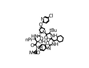 CCC[C@H](NC(=O)[C@@H]1C[C@@H](Oc2ccc(Cl)cn2)CN1C(=O)C(NC(=O)[C@@H](Nc1nc2cc(OC)ccc2o1)C1CCCCC1)C(C)(C)C)C(O)C(=O)NC1CC1